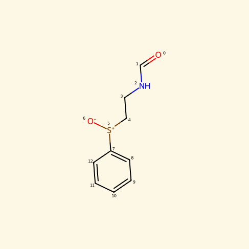 O=CNCC[S+]([O-])c1ccccc1